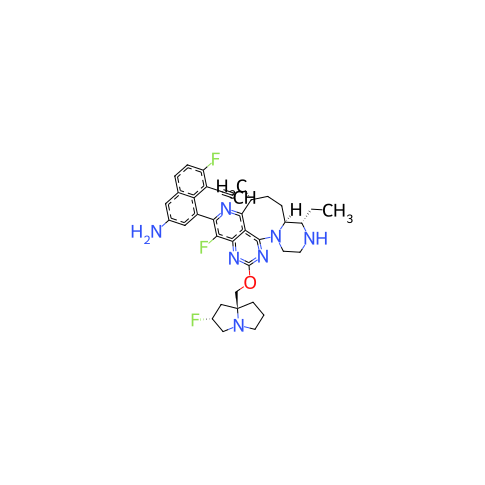 C#Cc1c(F)ccc2cc(N)cc(-c3nc4c5c(nc(OC[C@@]67CCCN6C[C@H](F)C7)nc5c3F)N3CCN[C@@H](CC)[C@@H]3CC[C@H]4C)c12